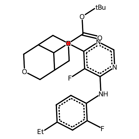 CCc1ccc(Nc2ncnc(OC3C4COCC3CN(C(=O)OC(C)(C)C)C4)c2F)c(F)c1